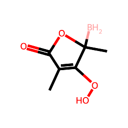 BC1(C)OC(=O)C(C)=C1OO